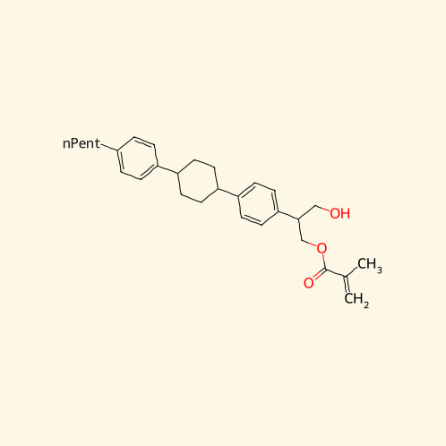 C=C(C)C(=O)OCC(CO)c1ccc(C2CCC(c3ccc(CCCCC)cc3)CC2)cc1